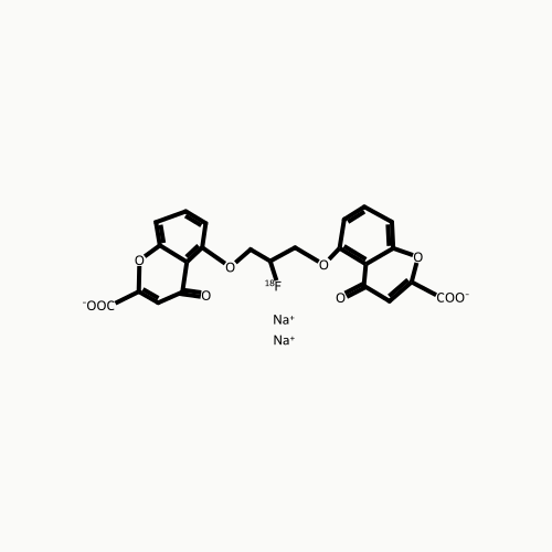 O=C([O-])c1cc(=O)c2c(OCC([18F])COc3cccc4oc(C(=O)[O-])cc(=O)c34)cccc2o1.[Na+].[Na+]